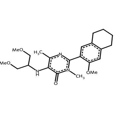 COCC(COC)Nc1c(C)nc(-c2cc3c(cc2OC)CCCC3)n(C)c1=O